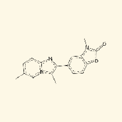 Cc1ccc2nc(-c3ccc4oc(=O)n(C)c4c3)c(C)n2c1